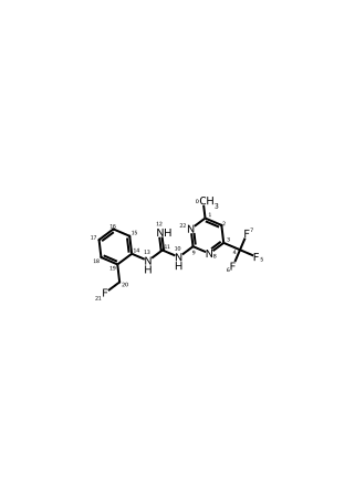 Cc1cc(C(F)(F)F)nc(NC(=N)Nc2ccccc2CF)n1